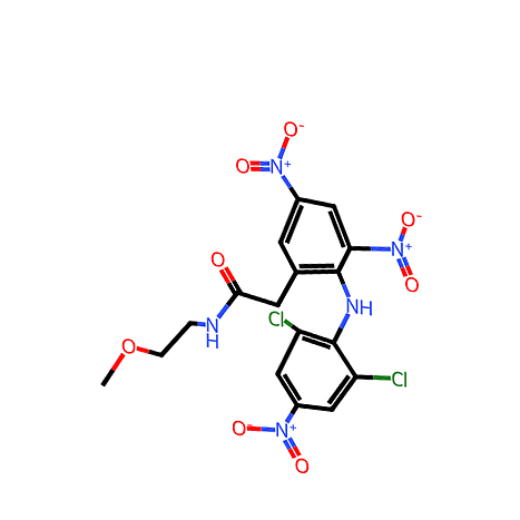 COCCNC(=O)Cc1cc([N+](=O)[O-])cc([N+](=O)[O-])c1Nc1c(Cl)cc([N+](=O)[O-])cc1Cl